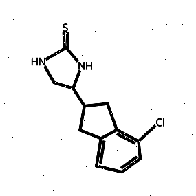 S=C1NCC(C2Cc3cccc(Cl)c3C2)N1